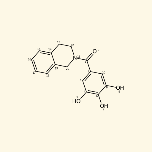 O=C(c1cc(O)c(O)c(O)c1)N1CCc2ccccc2C1